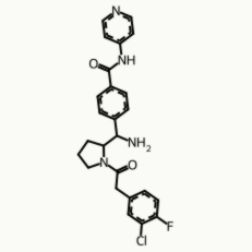 NC(c1ccc(C(=O)Nc2ccncc2)cc1)C1CCCN1C(=O)Cc1ccc(F)c(Cl)c1